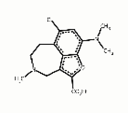 CCOC(=O)c1oc2c(N(C)C)cc(Cl)c3c2c1CN(C)CC3